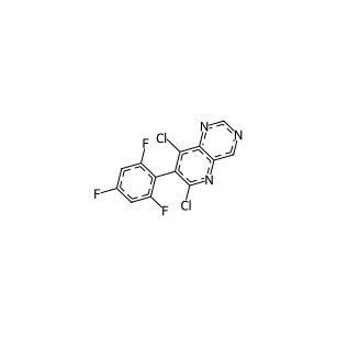 Fc1cc(F)c(-c2c(Cl)nc3cncnc3c2Cl)c(F)c1